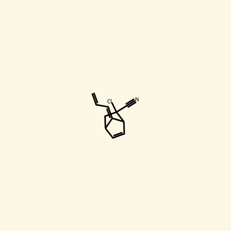 C=CC=C1C2C=CC1C(Cl)(C#N)C2